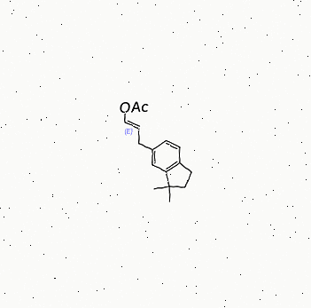 CC(=O)O/C=C/Cc1ccc2c(c1)C(C)(C)CC2